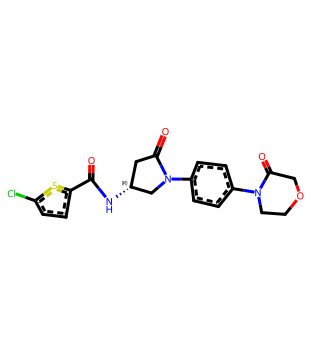 O=C(N[C@@H]1CC(=O)N(c2ccc(N3CCOCC3=O)cc2)C1)c1ccc(Cl)s1